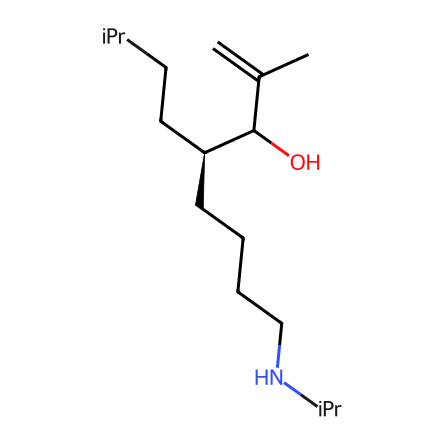 C=C(C)C(O)[C@@H](CCCCNC(C)C)CCC(C)C